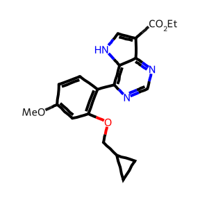 CCOC(=O)c1c[nH]c2c(-c3ccc(OC)cc3OCC3CC3)ncnc12